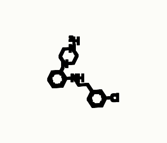 [2H]N1CCN(c2ccccc2NCCc2cccc(Cl)c2)CC1